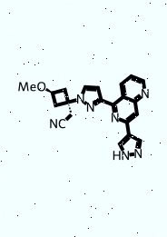 CO[C@H]1C[C@@](CC#N)(n2ccc(-c3nc(-c4cn[nH]c4)cc4ncccc34)n2)C1